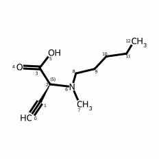 C#C[C@@H](C(=O)O)N(C)CCCCC